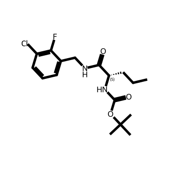 CCC[C@H](NC(=O)OC(C)(C)C)C(=O)NCc1cccc(Cl)c1F